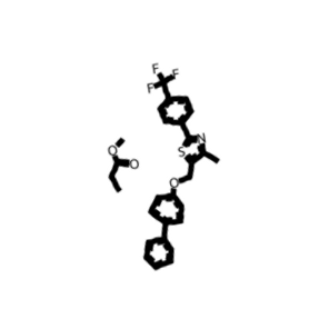 CCC(=O)OC.Cc1nc(-c2ccc(C(F)(F)F)cc2)sc1COc1ccc(-c2ccccc2)cc1